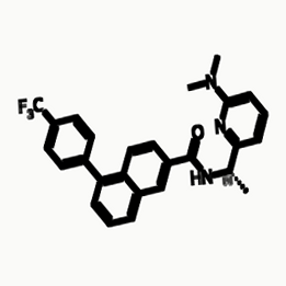 C[C@H](NC(=O)c1ccc2c(-c3ccc(C(F)(F)F)cc3)cccc2c1)c1cccc(N(C)C)n1